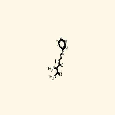 NC(=O)C(N)C(=O)NCCOc1ccccc1